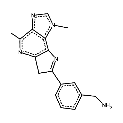 Cc1nc2c(c3c1ncn3C)N=C(c1cccc(CN)c1)C2